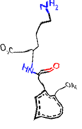 CC(=O)Oc1ccccc1C(=O)NC(CCCN)C(=O)O